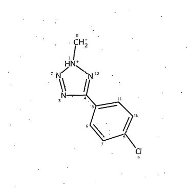 [CH2-][NH+]1N=NC(c2ccc(Cl)cc2)=N1